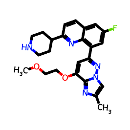 COCCOc1cc(-c2cc(F)cc3ccc(C4CCNCC4)nc23)nn2cc(C)nc12